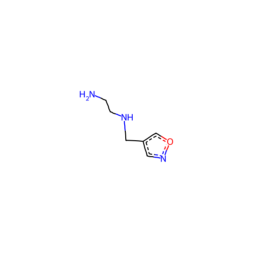 NCCNCc1cnoc1